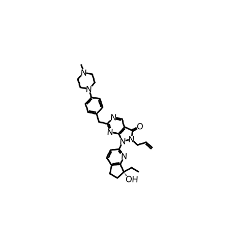 C=CCn1c(=O)c2cnc(Cc3ccc(N4CCN(C)CC4)cc3)nc2n1-c1ccc2c(n1)[C@@](O)(CC)CC2